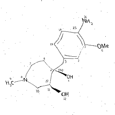 COc1cc([C@@]2(O)CCN(C)C[C@@H]2O)ccc1N